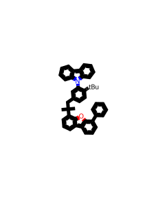 CC(C)(C)c1ccc(CC(C)(C)c2cccc3c2oc2c(-c4ccccc4)cccc23)cc1-n1c2ccccc2c2ccccc21